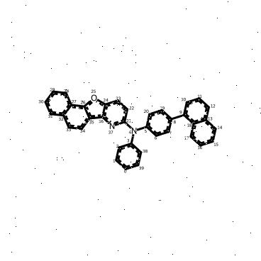 c1ccc(N(c2ccc(-c3cccc4ccccc34)cc2)c2ccc3oc4c5ccccc5ccc4c3n2)cc1